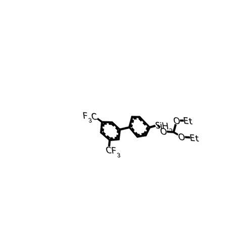 CCOC(OCC)O[SiH2]c1ccc(-c2cc(C(F)(F)F)cc(C(F)(F)F)c2)cc1